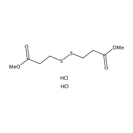 COC(=O)CCSSCCC(=O)OC.Cl.Cl